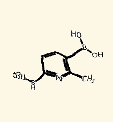 Cc1nc(BC(C)(C)C)ccc1B(O)O